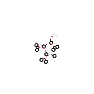 CC(C)(C)OC(=O)c1cc(OC(=O)c2cc(OC(=O)c3cc(OCc4ccccc4)c4c(c3)OC(c3ccccc3)(c3ccccc3)O4)c3c(c2)OC(c2ccccc2)(c2ccccc2)O3)c2c(c1)OC(c1ccccc1)(c1ccccc1)O2